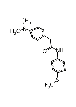 CN(C)c1ccc(CC(=O)Nc2ccc(SC(F)(F)F)cc2)cc1